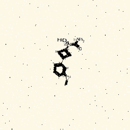 COc1cccc([C@H]2C[C@H](N(O)C(N)=O)C2)c1